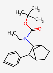 CCN(C(=O)OC(C)(C)C)C1C2CCC(C2)C1c1ccccc1